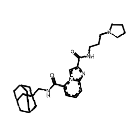 O=C(NCCCN1CCCC1)c1cn2c(C(=O)NCC34CC5CC(CC(C5)C3)C4)cccc2n1